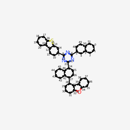 c1ccc2cc(-c3nc(-c4ccc5c(c4)sc4ccccc45)nc(-c4ccc(-c5cccc6oc7ccccc7c56)c5ccccc45)n3)ccc2c1